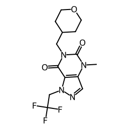 Cn1c(=O)n(CC2CCOCC2)c(=O)c2c1cnn2CC(F)(F)F